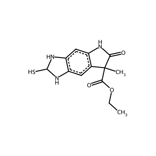 CCOC(=O)C1(C)C(=O)Nc2cc3c(cc21)NC(S)N3